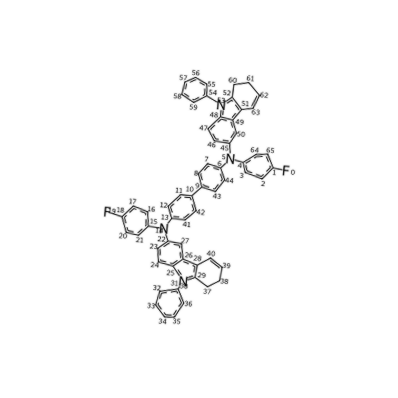 Fc1ccc(N(c2ccc(-c3ccc(N(c4ccc(F)cc4)c4ccc5c(c4)c4c(n5-c5ccccc5)CCC=C4)cc3)cc2)c2ccc3c(c2)c2c(n3-c3ccccc3)CCC=C2)cc1